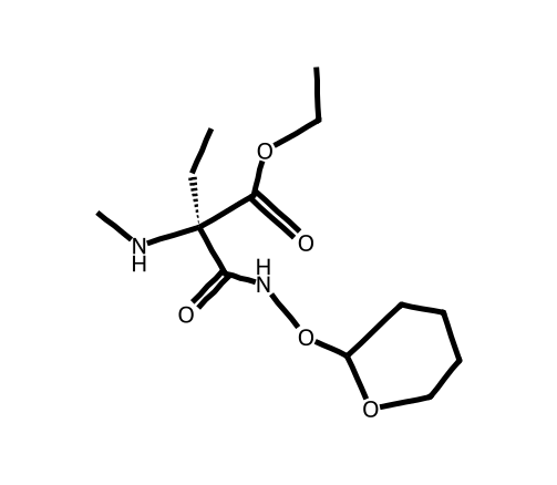 CCOC(=O)[C@](CC)(NC)C(=O)NOC1CCCCO1